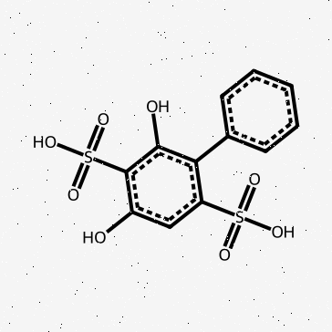 O=S(=O)(O)c1cc(O)c(S(=O)(=O)O)c(O)c1-c1ccccc1